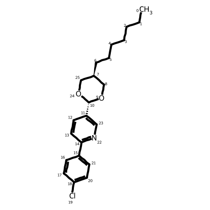 CCCCCCC[C@H]1CO[C@H](c2ccc(-c3ccc(Cl)cc3)nc2)OC1